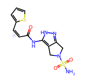 NS(=O)(=O)N1Cc2n[nH]c(NC(=O)/C=C\c3cccs3)c2C1